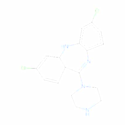 ClC1=CC2Nc3cc(Cl)ccc3N=C(N3CCNCC3)C2C=C1